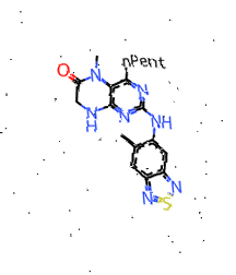 CCCCCc1nc(Nc2cc3nsnc3cc2C)nc2c1N(C)C(=O)CN2